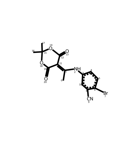 CC(Nc1ccc(Br)c(C#N)c1)=C1C(=O)OC(C)(C)OC1=O